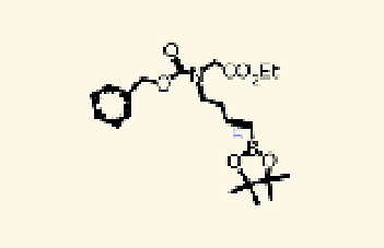 CCOC(=O)CN(CC/C=C/B1OC(C)(C)C(C)(C)O1)C(=O)OCc1ccccc1